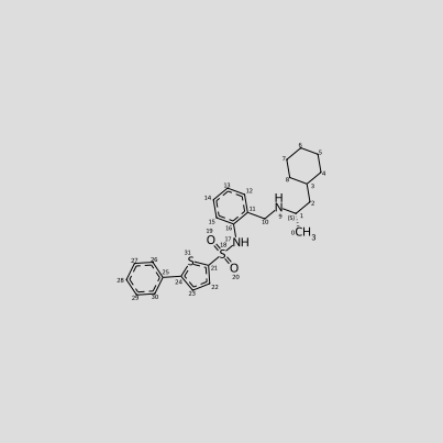 C[C@@H](CC1CCCCC1)NCc1ccccc1NS(=O)(=O)c1ccc(-c2ccccc2)s1